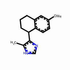 COc1ccc2c(c1)CCCC2c1nc[nH]c1C